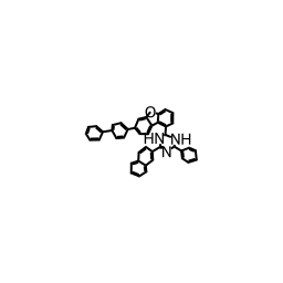 c1ccc(-c2ccc(-c3ccc4c(c3)oc3cccc(C5NC(c6ccc7ccccc7c6)=NC(c6ccccc6)N5)c34)cc2)cc1